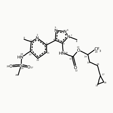 Cc1nc(-c2nnn(C)c2NC(=O)OC(CCC2CC2)C(F)(F)F)ccc1NS(C)(=O)=O